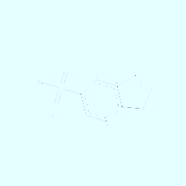 NS(=O)(=O)c1ccc2c(c1)C=CC2